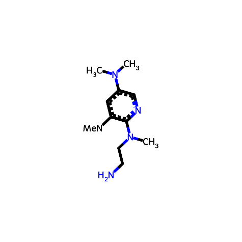 CNc1cc(N(C)C)cnc1N(C)CCN